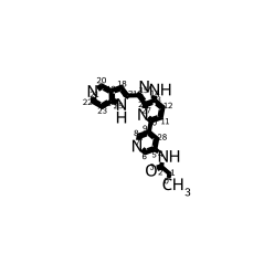 CCC(=O)Nc1cncc(-c2ccc3[nH]nc(-c4cc5cnccc5[nH]4)c3n2)c1